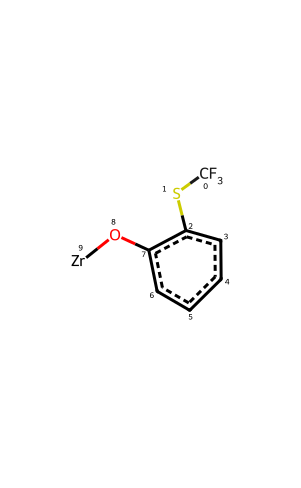 FC(F)(F)Sc1ccccc1[O][Zr]